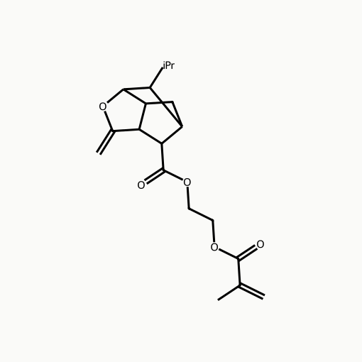 C=C(C)C(=O)OCCOC(=O)C1C2CC3C(OC(=C)C31)C2C(C)C